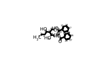 C=CCC(O)C(CC)C(C)O.O=C(O)c1ccccc1.O=C(O)c1ccccc1